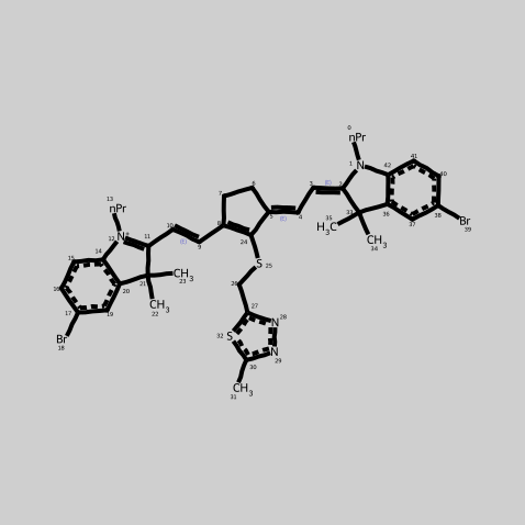 CCCN1/C(=C/C=C2\CCC(/C=C/C3=[N+](CCC)c4ccc(Br)cc4C3(C)C)=C2SCc2nnc(C)s2)C(C)(C)c2cc(Br)ccc21